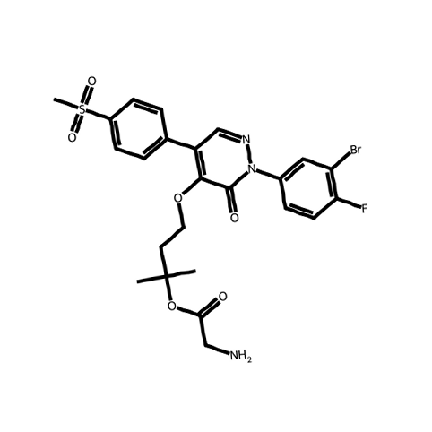 CC(C)(CCOc1c(-c2ccc(S(C)(=O)=O)cc2)cnn(-c2ccc(F)c(Br)c2)c1=O)OC(=O)CN